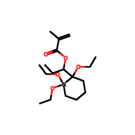 C=C(C)C(=O)OC(CC)C1(OCC)CCCC[Si]1(OCC)OCC